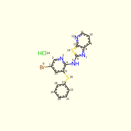 Brc1cnc(Nc2nc3cccnc3s2)c(Sc2ccccc2)c1.Cl